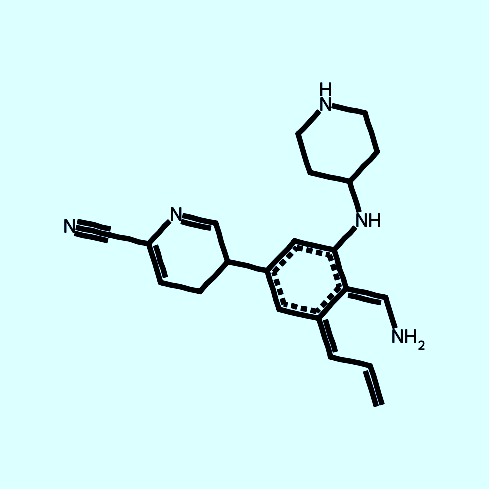 C=C/C=c1/cc(C2C=NC(C#N)=CC2)cc(NC2CCNCC2)/c1=C/N